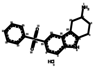 Cl.NC1CCc2[nH]c3ccc(S(=O)(=O)c4ccccc4)cc3c2C1